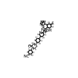 N#Cc1ccc(N2CCN(c3ccc(-c4ccc(C(F)(F)[C@]5(O)Cn6nnnc6-c6cc(F)ccc65)nc4)cc3)CC2=O)cc1